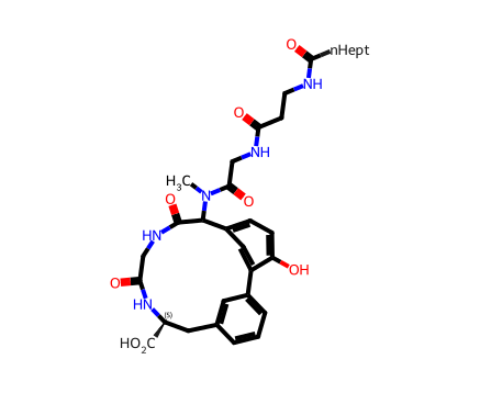 CCCCCCCC(=O)NCCC(=O)NCC(=O)N(C)C1C(=O)NCC(=O)N[C@H](C(=O)O)Cc2cccc(c2)-c2cc1ccc2O